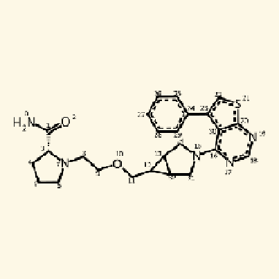 NC(=O)[C@H]1CCCN1CCOCC1C2CN(c3ncnc4scc(-c5ccccc5)c34)CC12